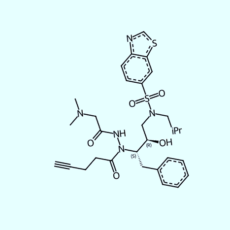 C#CCCC(=O)N(NC(=O)CN(C)C)[C@@H](Cc1ccccc1)[C@H](O)CN(CC(C)C)S(=O)(=O)c1ccc2ncsc2c1